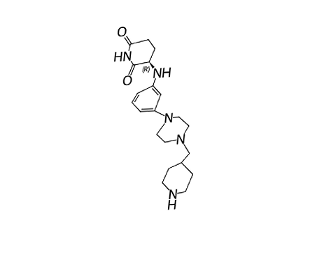 O=C1CC[C@@H](Nc2cccc(N3CCN(CC4CCNCC4)CC3)c2)C(=O)N1